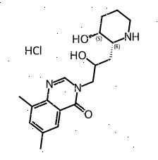 Cc1cc(C)c2ncn(CC(O)C[C@H]3NCCC[C@@H]3O)c(=O)c2c1.Cl